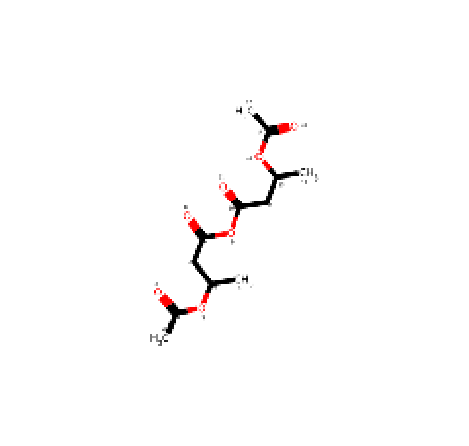 CC(=O)OC(C)CC(=O)OC(=O)CC(C)OC(C)=O